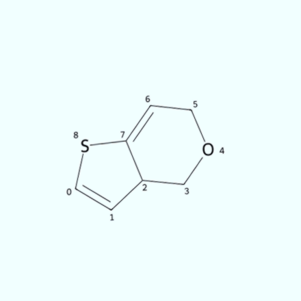 C1=CC2COCC=C2S1